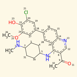 CNC1CCC(Nc2c(C(C)=O)cnc3ccc(-c4cc(Cl)c(O)c(OC)c4)cc23)CC1